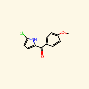 COc1ccc(C(=O)c2ccc(Cl)[nH]2)cc1